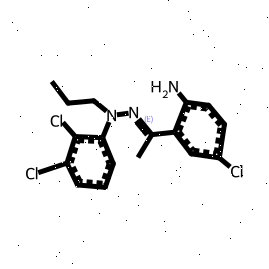 CCCN(/N=C(\C)c1cc(Cl)ccc1N)c1cccc(Cl)c1Cl